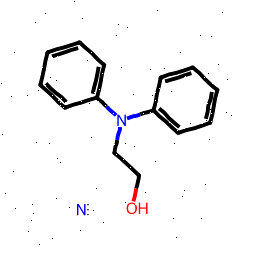 OCCN(c1ccccc1)c1ccccc1.[N]